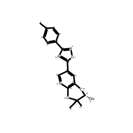 Cc1ccc(-c2noc(-c3cnc4c(c3)C[C@H](O)C(C)(C)O4)n2)cc1